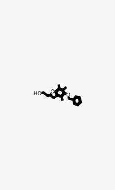 Cc1c(C)c2c(c(C)c1OCc1ccccc1)C[C](CCO)O2